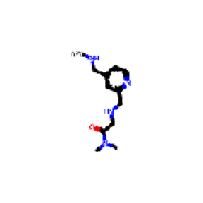 CCCNCc1ccnc(CNCC(=O)N(C)C)c1